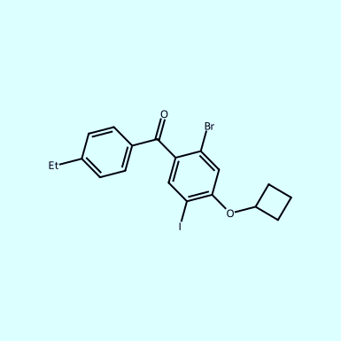 CCc1ccc(C(=O)c2cc(I)c(OC3CCC3)cc2Br)cc1